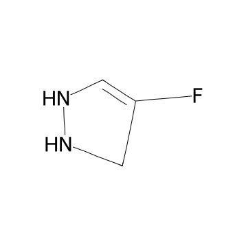 FC1=CNNC1